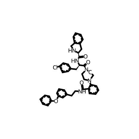 O=C(NCCc1cccc(Oc2ccccc2)c1)c1ccccc1N1CCN(C(=O)[C@@H](Cc2ccc(Cl)cc2)NC(=O)[C@@H]2Cc3ccccc3CN2)CC1